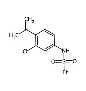 C=C(C)c1ccc(NS(=O)(=O)CC)cc1Cl